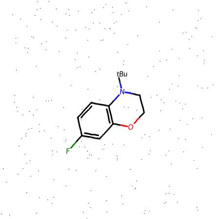 CC(C)(C)N1CCOc2cc(F)ccc21